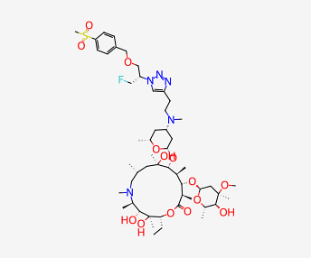 CC[C@H]1OC(=O)[C@H](C)[C@@H](O[C@H]2C[C@@](C)(OC)[C@@H](O)[C@H](C)O2)[C@H](C)[C@@H](O[C@H]2C[C@@H](N(C)CCc3cn([C@H](CF)COCc4ccc(S(C)(=O)=O)cc4)nn3)C[C@@H](C)O2)[C@](C)(O)C[C@@H](C)CN(C)[C@H](C)[C@@H](O)[C@]1(C)O